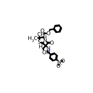 CC1(C)S[C@H]2N(C(=O)C2(CO)/N=C/c2ccc([N+](=O)[O-])cc2)[C@H]1C(=O)OCc1ccccc1